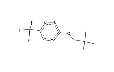 CC(C)(C)COc1ccc(C(F)(F)F)nn1